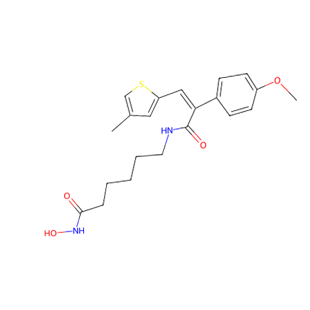 COc1ccc(C(=Cc2cc(C)cs2)C(=O)NCCCCCC(=O)NO)cc1